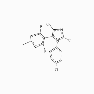 Cc1cc(F)c(-c2c(Cl)nc(Cl)n2-c2ccc(Cl)cc2)c(F)c1